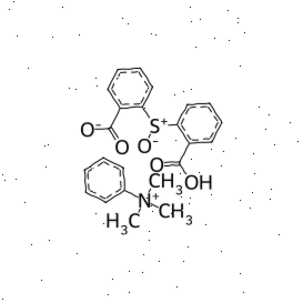 C[N+](C)(C)c1ccccc1.O=C([O-])c1ccccc1[S+]([O-])c1ccccc1C(=O)O